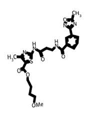 COCCCCOC(=O)c1sc(NC(=O)CCNC(=O)c2cccc(-c3noc(C)n3)c2)nc1C